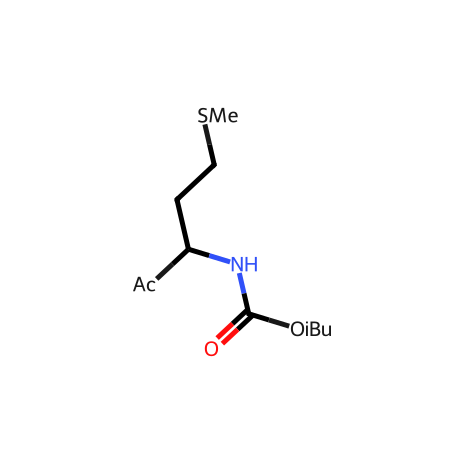 CSCCC(NC(=O)OCC(C)C)C(C)=O